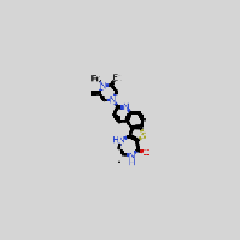 CCC1CN(c2ccc3c(ccc4sc5c(c43)NC[C@@H](C)NC5=O)n2)CC(C)N1C(C)C